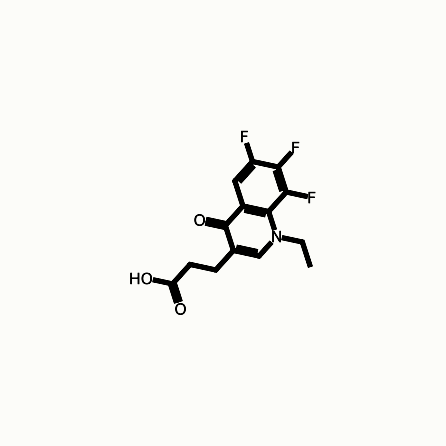 CCn1cc(CCC(=O)O)c(=O)c2cc(F)c(F)c(F)c21